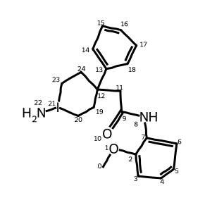 COc1ccccc1NC(=O)CC1(c2ccccc2)CCI(N)CC1